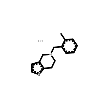 Cc1ccccc1CN1CCc2sccc2C1.Cl